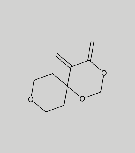 C=C1OCOC2(CCOCC2)C1=C